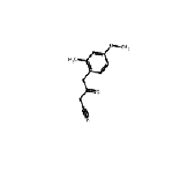 COc1ccc(CC(=O)CC#N)c(C)c1